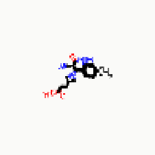 Cc1ccc2c(N3CC(C=CC(=O)O)C3)c(C#N)c(=O)[nH]c2c1